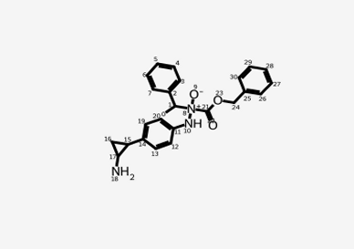 CC(c1ccccc1)[N+]([O-])(Nc1ccc(C2CC2N)cc1)C(=O)OCc1ccccc1